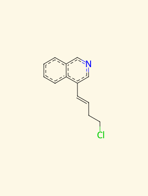 ClCC/C=C/c1cncc2ccccc12